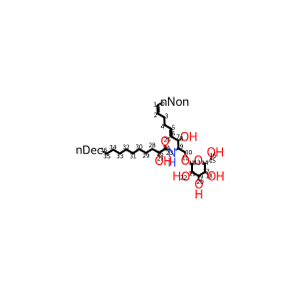 CCCCCCCCC/C=C\CC/C=C/C(O)C(COC1O[C@H](CO)C(O)C(O)C1O)NC(=O)C(O)CCCCCCCCCCCCCCCCCC